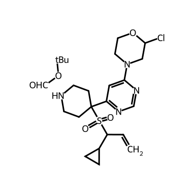 C=CC(C1CC1)S(=O)(=O)C1(c2cc(N3CCOC(Cl)C3)ncn2)CCNCC1.CC(C)(C)OC=O